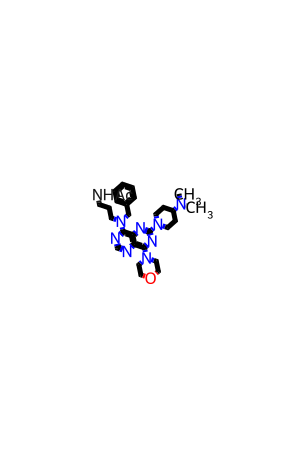 CC(=O)NCCCN(Cc1ccccc1)c1ncnc2c(N3CCOCC3)nc(N3CCC(N(C)C)CC3)nc12